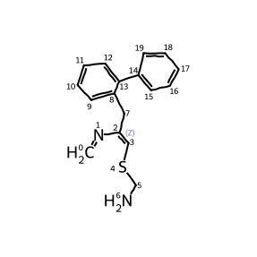 C=N/C(=C\SCN)Cc1ccccc1-c1ccccc1